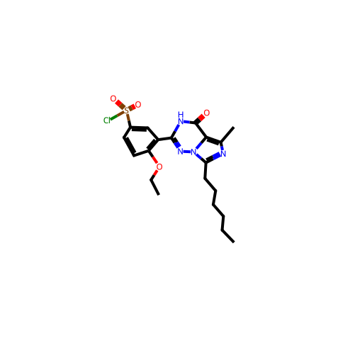 CCCCCCc1nc(C)c2c(=O)[nH]c(-c3cc(S(=O)(=O)Cl)ccc3OCC)nn12